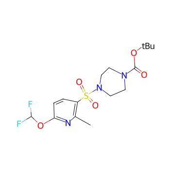 Cc1nc(OC(F)F)ccc1S(=O)(=O)N1CCN(C(=O)OC(C)(C)C)CC1